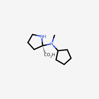 CN(C1CCCC1)[C@@]1(C(=O)O)CCCN1